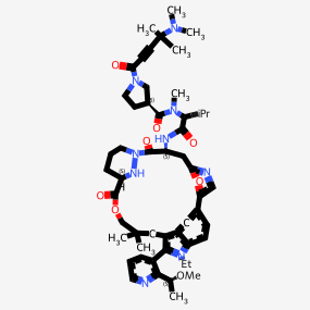 CCn1c(-c2cccnc2[C@H](C)OC)c2c3cc(ccc31)-c1cnc(o1)C[C@H](NC(=O)C(C(C)C)N(C)C(=O)[C@H]1CCN(C(=O)C#CC(C)(C)N(C)C)C1)C(=O)N1CCC[C@H](N1)C(=O)OCC(C)(C)C2